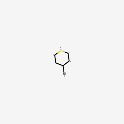 [CH2]CC1CCSCC1